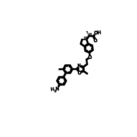 Cc1ccc(-c2nc(CCOc3ccc4c(c3)CC[C@H]4[C@H](C)C(=O)O)c(C)o2)cc1-c1ccc(N)cc1